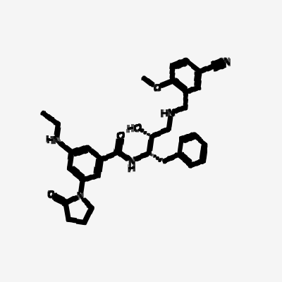 CCNc1cc(C(=O)N[C@@H](Cc2ccccc2)[C@H](O)CNCc2cc(C#N)ccc2OC)cc(N2CCCC2=O)c1